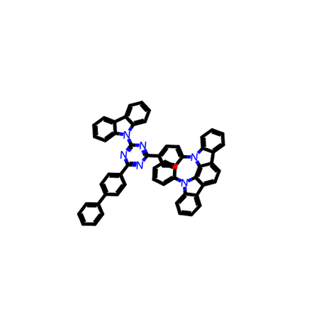 c1ccc(-c2ccc(-c3nc(-c4ccc(-n5c6ccccc6c6ccc7c8ccccc8n(-c8ccccc8)c7c65)cc4)nc(-n4c5ccccc5c5ccccc54)n3)cc2)cc1